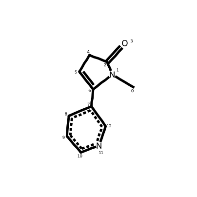 CN1C(=O)C[C]=C1c1cccnc1